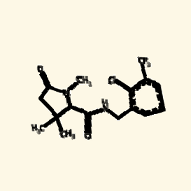 CN1C(=O)CC(C)(C)C1C(=O)NCc1cccc(C(F)(F)F)c1Cl